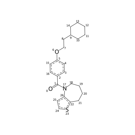 O=C(c1ccc(OCCC2CCCCC2)cc1)N1CCCCc2sccc21